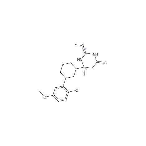 C/N=C1/NC(=O)C[C@@](C)(C2CCCC(c3cc(OC)ccc3Cl)C2)N1